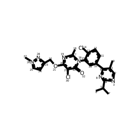 Cc1cnc(C(C)C)nc1-c1ccc(Cl)c(-n2c(C)nc(OCc3ccn(C)n3)c(Cl)c2=O)c1